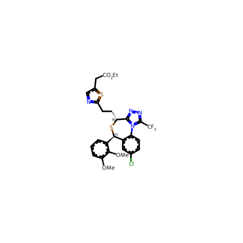 CCOC(=O)Cc1cnc(CC[C@H]2S[C@H](c3cccc(OC)c3OC)c3cc(Cl)ccc3-n3c2nnc3C(F)(F)F)s1